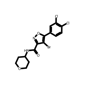 O=C(NC1CCOCC1)c1noc(-c2ccc(Cl)c(Cl)c2)c1Br